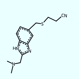 CN(C)Cc1nc2cc(CSCCC#N)ccc2[nH]1